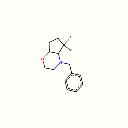 FC1(F)CCC2OCCN(Cc3ccccc3)C21